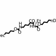 CCCCCCCCCCCCCCOC(=O)NCCCCC(NC(=O)OCCCCCCCCCCCCCC)C(=O)OCC